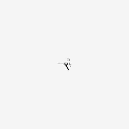 C[SiH2]C.[Ti]